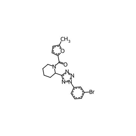 Cc1ccc(C(=O)N2CCCCC2c2nnn(-c3cccc(Br)c3)n2)o1